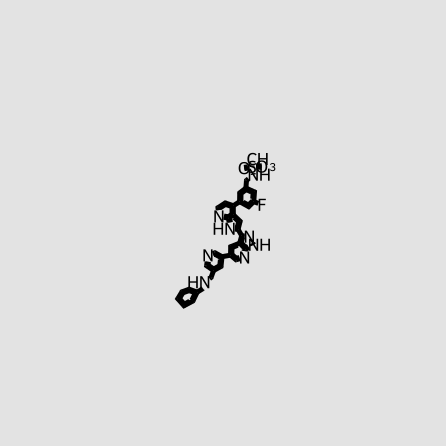 CS(=O)(=O)NCc1cc(F)cc(-c2ccnc3[nH]c(-c4n[nH]c5ncc(-c6cncc(CNCc7ccccc7)c6)cc45)cc23)c1